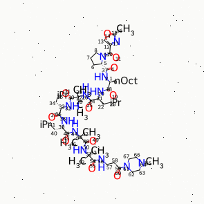 CCCCCCCC[C@H](NC(=O)[C@@H]1CCCN1C(=O)c1coc(C)n1)C(=O)N[C@@H](CC(C)C)C(=O)NC(C)(C)C(=O)N[C@@H](CC(C)C)C(=O)N[C@@H](CC(C)C)C(=O)NC(C)(C)C(=O)NC(C)(C)C(=O)NCCC(=O)N1CCN(C)CC1